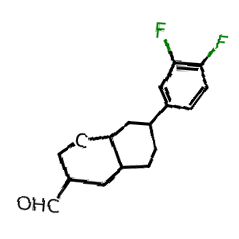 O=CC1CCC2CC(c3ccc(F)c(F)c3)CCC2C1